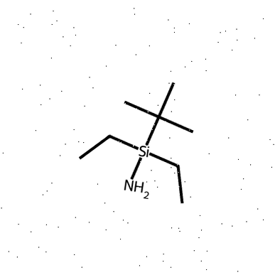 CC[Si](N)(CC)C(C)(C)C